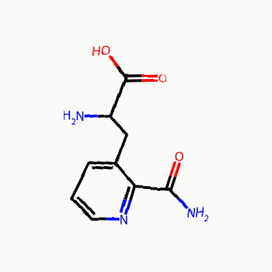 NC(=O)c1ncccc1CC(N)C(=O)O